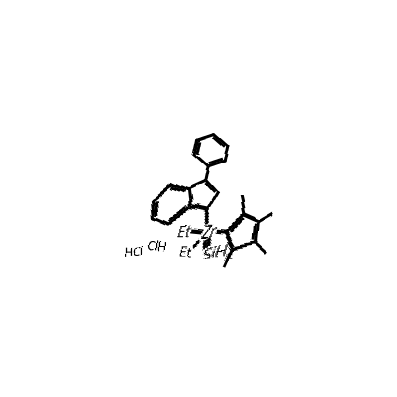 C[CH2][Zr](=[SiH2])([CH2]C)([C]1=C(C)C(C)=C(C)C1C)[CH]1C=C(c2ccccc2)c2ccccc21.Cl.Cl